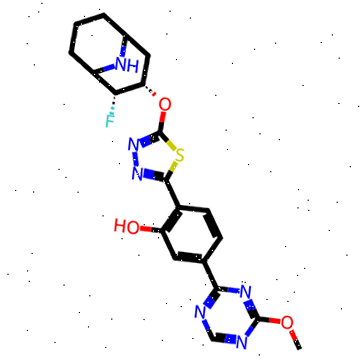 COc1ncnc(-c2ccc(-c3nnc(O[C@H]4CC5CCCC(N5)[C@H]4F)s3)c(O)c2)n1